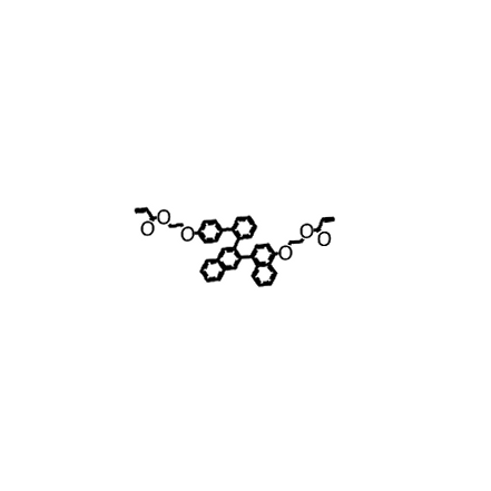 C=CC(=O)OCCOc1ccc(-c2ccccc2-c2cc3ccccc3cc2-c2ccc(OCCOC(=O)C=C)c3ccccc23)cc1